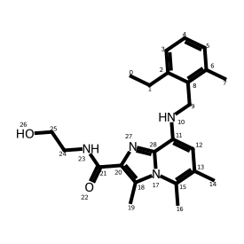 CCc1cccc(C)c1CNc1cc(C)c(C)n2c(C)c(C(=O)NCCO)nc12